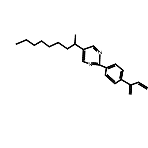 C=CC(=C)c1ccc(-c2ncc(C(C)CCCCCCC)cn2)cc1